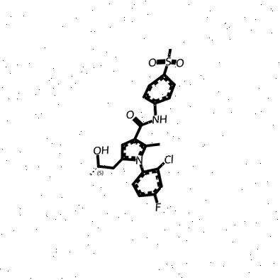 Cc1c(C(=O)Nc2ccc(S(C)(=O)=O)cc2)cc(C[C@H](C)O)n1-c1ccc(F)cc1Cl